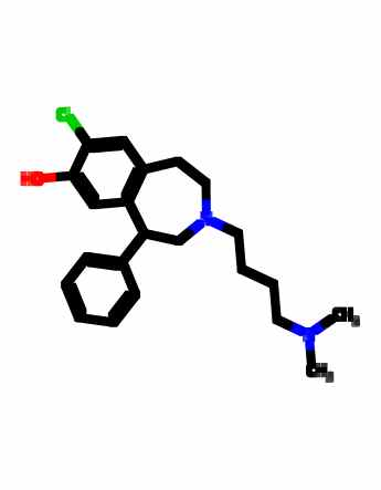 CN(C)CCCCN1CCc2cc(Cl)c(O)cc2C(c2ccccc2)C1